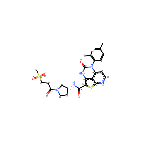 C=C(C)/C=C\C(=C(C)C)N1C(=O)Nc2c(C(=O)N[C@@H]3CCN(C(=O)CCS(C)(=O)=O)C3)sc3nccc1c23